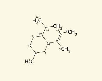 CC=C(C)C1CC(C)CCC1C(C)C